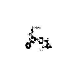 CCOc1ccsc1C(=O)N1CCN(c2cc(NCCNC(C)=O)nc(-c3ccccc3)n2)CC1